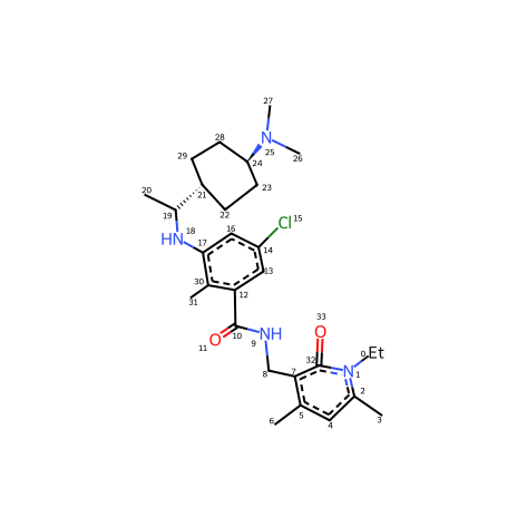 CCn1c(C)cc(C)c(CNC(=O)c2cc(Cl)cc(NC(C)[C@H]3CC[C@H](N(C)C)CC3)c2C)c1=O